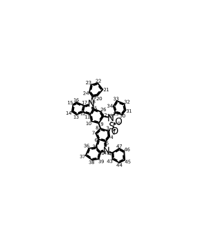 O=S1(=O)c2cc3c(cc2-c2cc4c5ccccc5n(-c5ccccc5)c4cc2N1c1ccccc1)c1ccccc1n3-c1ccccc1